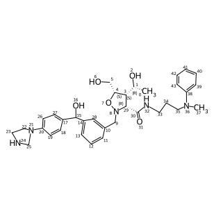 C[C@@H](O)[C@H]1[C@@H](CO)ON(Cc2cccc(C(O)c3ccc(N4CCNC4)cc3)c2)[C@H]1C(=O)NCCCN(C)c1ccccc1